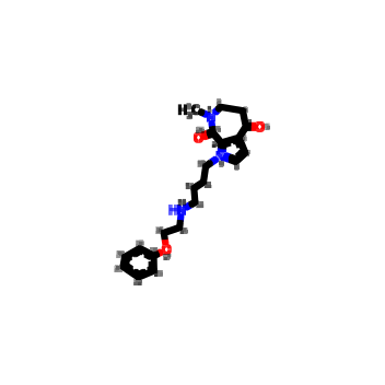 CN1CCC(=O)c2ccn(CCCCNCCOc3ccccc3)c2C1=O